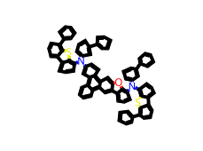 c1ccc(-c2cccc(N(c3ccc4c(c3)c3ccccc3c3cc5c(cc43)oc3c(N(c4cccc(-c6ccccc6)c4)c4cccc6c4sc4c(-c7ccccc7)cccc46)cccc35)c3cccc4c3sc3c(-c5ccccc5)cccc34)c2)cc1